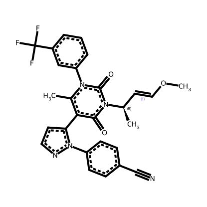 CO/C=C/[C@@H](C)n1c(=O)c(-c2ccnn2-c2ccc(C#N)cc2)c(C)n(-c2cccc(C(F)(F)F)c2)c1=O